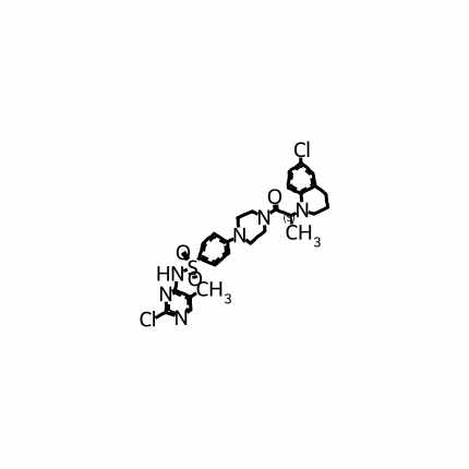 Cc1cnc(Cl)nc1NS(=O)(=O)c1ccc(N2CCN(C(=O)[C@H](C)N3CCCc4cc(Cl)ccc43)CC2)cc1